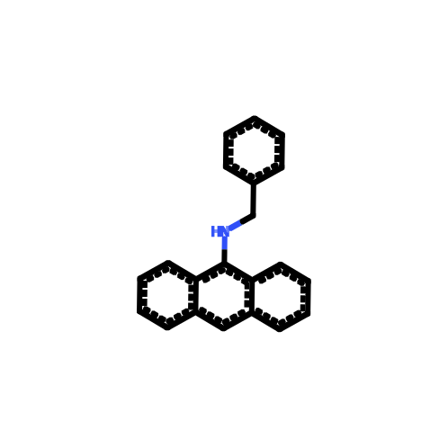 c1ccc(CNc2c3ccccc3cc3ccccc23)cc1